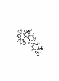 COc1ccc(-c2ccc(Cl)c(F)c2)cc1C1=C(O)C(C)(C)OC(C)(C)C1=O